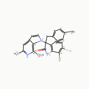 Cc1cc2ccn(C(Cc3ccc(C(C)(C)C)cc3)(C(N)=O)c3ccc(F)c(Cl)c3)c2c(C(=O)O)n1